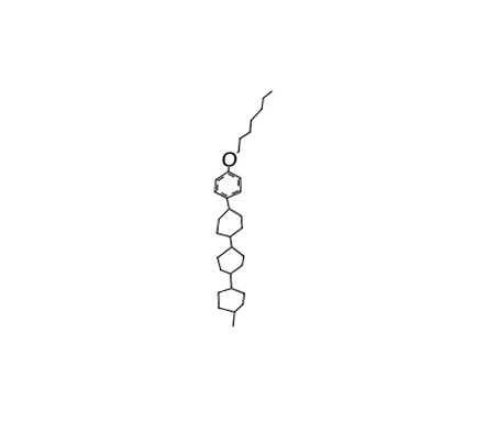 CCCCCCCOc1ccc(C2CCC(C3CCC(C4CCC(C)CC4)CC3)CC2)cc1